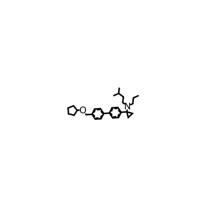 CCCN(CCC(C)C)C1(c2ccc(-c3ccc(COC4CCCC4)cc3)cc2)CC1